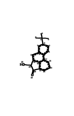 CC(C)(C)c1ccc2c(c1)cc1c3c(cccc32)C(=O)C1O